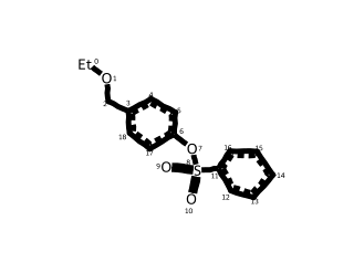 CCOCc1ccc(OS(=O)(=O)c2ccccc2)cc1